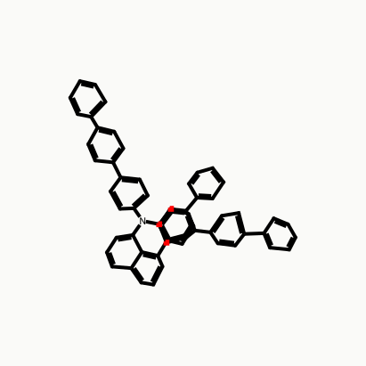 c1ccc(-c2ccc(-c3ccc(N(c4ccc(-c5ccc(-c6ccccc6)cc5)cc4)c4cccc5cccc(-c6ccc(-c7ccccc7)cc6)c45)cc3)cc2)cc1